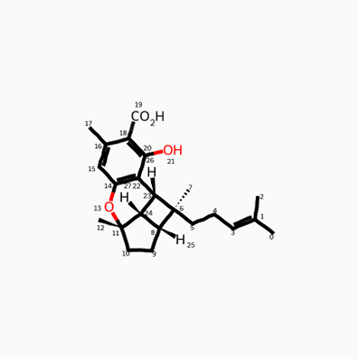 CC(C)=CCC[C@@]1(C)[C@@H]2CC[C@]3(C)Oc4cc(C)c(C(=O)O)c(O)c4[C@H]1[C@H]23